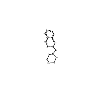 c1ccc2cc(CN3CC[N]CC3)ccc2c1